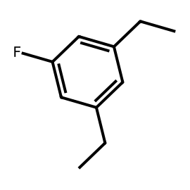 CCc1cc(F)cc(CC)c1